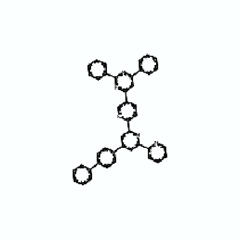 c1ccc(-c2ccc(-c3cc(-c4ccccn4)nc(-c4ccc(-c5cc(-c6ccccc6)nc(-c6ccccc6)n5)cn4)c3)cc2)cc1